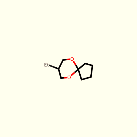 CCC1COC2(CCCC2)OC1